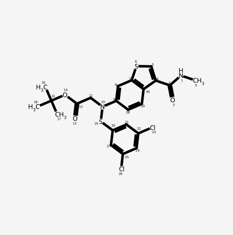 CNC(=O)c1csc2cc(N(CC(=O)OC(C)(C)C)Sc3cc(Cl)cc(Cl)c3)ccc12